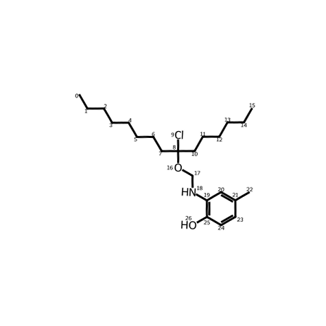 CCCCCCCCC(Cl)(CCCCCC)OCNc1cc(C)ccc1O